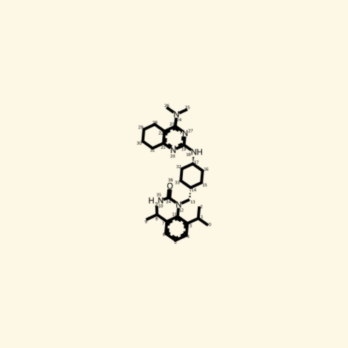 CC(C)c1cccc(C(C)C)c1N(C[C@H]1CC[C@@H](Nc2nc3c(c(N(C)C)n2)CCCC3)CC1)C(N)=O